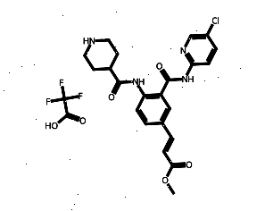 COC(=O)C=Cc1ccc(NC(=O)C2CCNCC2)c(C(=O)Nc2ccc(Cl)cn2)c1.O=C(O)C(F)(F)F